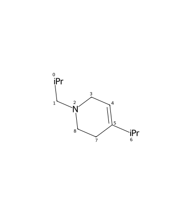 CC(C)CN1CC=C(C(C)C)CC1